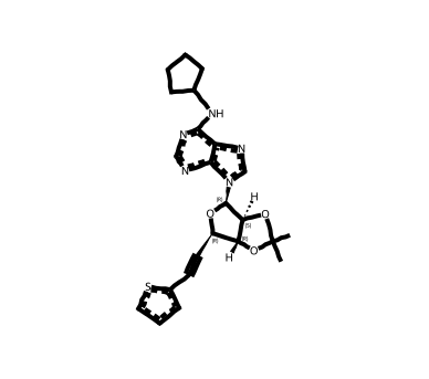 CC1(C)O[C@H]2[C@H](O1)[C@@H](C#Cc1cccs1)O[C@H]2n1cnc2c(NC3CCCC3)ncnc21